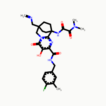 C=NCC12CCC(NC(=O)C(=O)N(C)C)(CC1)c1nc(C(=O)NCc3ccc(F)c(C)c3)c(O)c(=O)n1C2